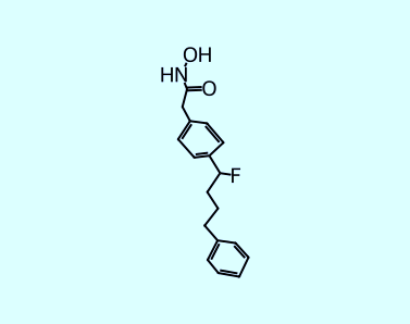 O=C(Cc1ccc(C(F)CCCc2ccccc2)cc1)NO